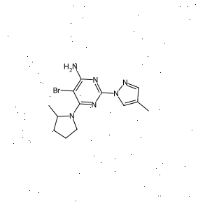 Cc1cnn(-c2nc(N)c(Br)c(N3CCCC3C)n2)c1